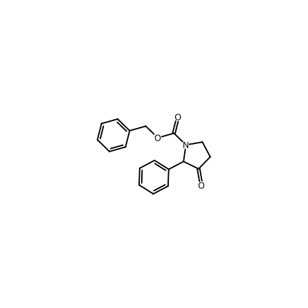 O=C1CCN(C(=O)OCc2ccccc2)C1c1ccccc1